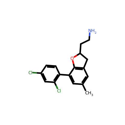 Cc1cc2c(c(-c3ccc(Cl)cc3Cl)c1)OC(CCN)C2